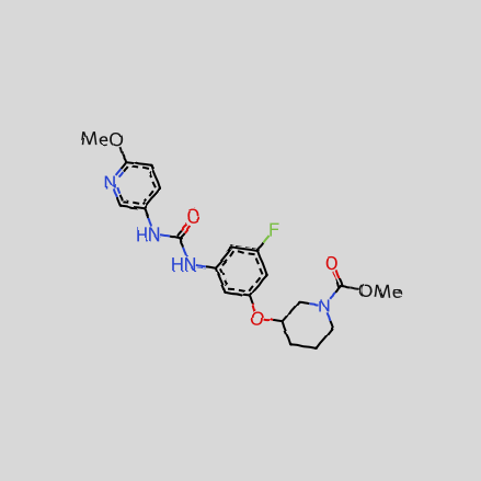 COC(=O)N1CCCC(Oc2cc(F)cc(NC(=O)Nc3ccc(OC)nc3)c2)C1